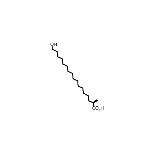 C=C(CCCCCCCCCCCCCCCO)C(=O)O